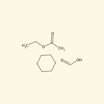 C1CCCCC1.CCOC(C)=O.O=CO